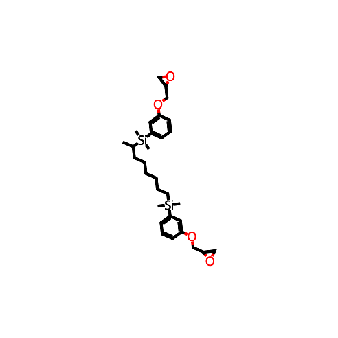 CC(CCCCCC[Si](C)(C)c1cccc(OCC2CO2)c1)[Si](C)(C)c1cccc(OCC2CO2)c1